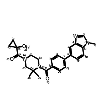 Cn1cnc2cc(-c3ccc(C(=O)N4CCN(C(=O)C5(O)CC5)CC4(C)C)cc3)ccc21